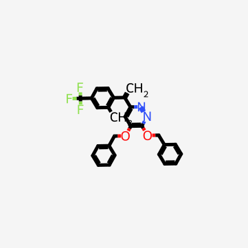 C=C(c1cc(OCc2ccccc2)c(OCc2ccccc2)nn1)c1ccc(C(F)(F)F)cc1C